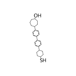 OC1CCCC(c2ccc(-c3ccc(C4CCC(S)CC4)cc3)cc2)CC1